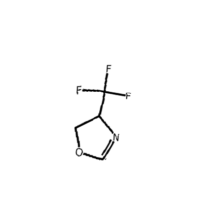 FC(F)(F)C1CO[C]=N1